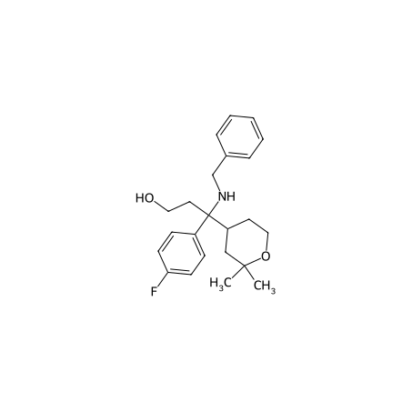 CC1(C)CC(C(CCO)(NCc2ccccc2)c2ccc(F)cc2)CCO1